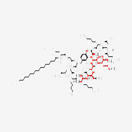 CCCCCCCCCCCCCCCC(=O)N[C@@H](CCSC)C(=O)NCC(=O)N[C@@H](Cc1ccc(O)cc1)C(=O)N[C@@H](CCC(N)=O)C(=O)N[C@H](CCCCN)C(=O)N[C@@H](CCCCN)C(=O)N[C@@H](CC(C)C)C(=O)N[C@@H](CCCNC(=N)N)C(=O)N[C@@H](CO)C(=O)N[C@@H](CCSC)C(=O)N[C@H](C(=O)N[C@@H](CC(=O)O)C(=O)N[C@@H](CCCCN)C(=O)N[C@@H](C)C(=O)N[C@@H](CCCNC(=N)N)C(=O)N[C@@H](CC(C)C)C(N)=O)[C@@H](C)O